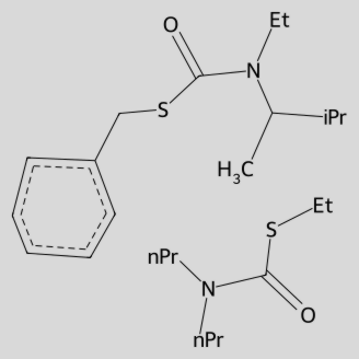 CCCN(CCC)C(=O)SCC.CCN(C(=O)SCc1ccccc1)C(C)C(C)C